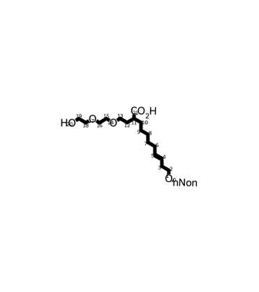 CCCCCCCCCOCCC=CCCCCCC(CCOCCOCCO)C(=O)O